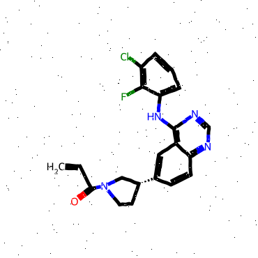 C=CC(=O)N1CC[C@@H](c2ccc3ncnc(Nc4cccc(Cl)c4F)c3c2)C1